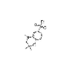 CCS(=O)(=O)c1ccc2c(c1)N(C)CC(C)(C)O2